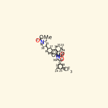 COC(=O)N1CC=C(c2ccc(OC)c(C3=C(CN4C(=O)O[C@H](c5cc(C)cc(C(F)(F)F)c5)[C@@H]4C)CC(C)(C)CC3)c2)CC1